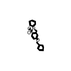 O=S1(=O)c2ccc(OCc3ccccc3)cc2CN1c1ccccc1